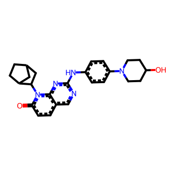 O=c1ccc2cnc(Nc3ccc(N4CCC(O)CC4)cc3)nc2n1C1CC2CCC1C2